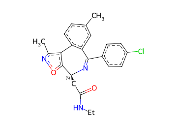 CCNC(=O)C[C@@H]1N=C(c2ccc(Cl)cc2)c2cc(C)ccc2-c2c(C)noc21